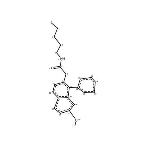 CCCCCNC(=O)Cc1cnc2ccc(OC)cc2c1-c1ccccc1